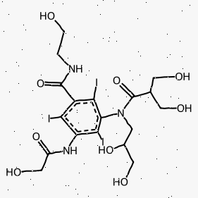 O=C(CO)Nc1c(I)c(C(=O)NCCO)c(I)c(N(CC(O)CO)C(=O)C(CO)CO)c1I